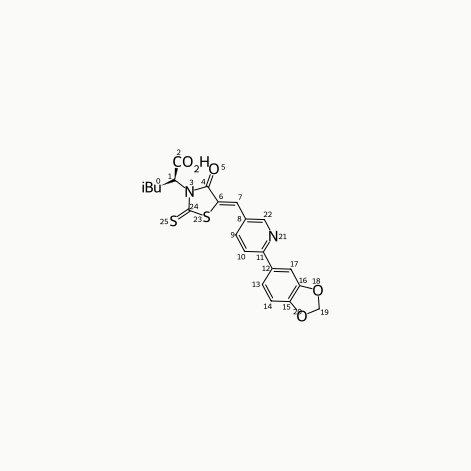 CC[C@H](C)[C@@H](C(=O)O)N1C(=O)/C(=C/c2ccc(-c3ccc4c(c3)OCO4)nc2)SC1=S